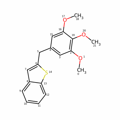 COc1cc(Cc2cc3ccccc3s2)cc(OC)c1OC